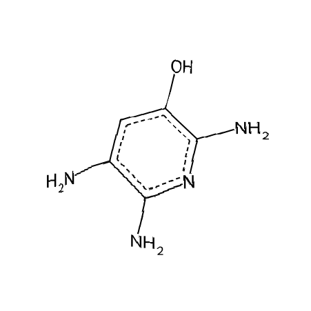 Nc1cc(O)c(N)nc1N